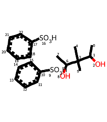 CC(O)C(C)(C)C(C)O.O=S(=O)(O)c1ccccc1.O=S(=O)(O)c1ccccc1